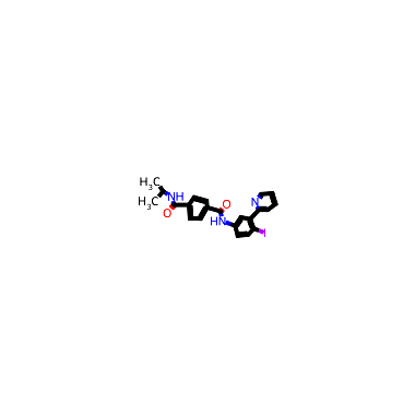 CC(C)NC(=O)c1ccc(C(=O)Nc2ccc(I)c(-c3ccccn3)c2)cc1